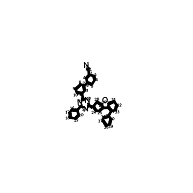 N#Cc1cccc(-c2cccc(-c3nc(-c4ccccc4)nc(-c4ccc5c(c4)oc4cccc(-c6ccccc6)c45)n3)c2)c1